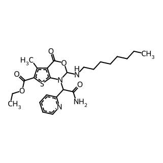 CCCCCCCCNC1OC(=O)c2c(sc(C(=O)OCC)c2C)N1C(C(N)=O)c1ccccn1